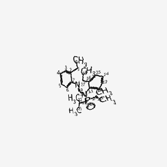 CCc1ccccc1N=CN(c1ccccc1CC)P(=O)(C(C)C)C(C)C